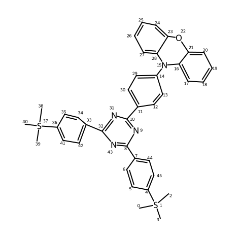 CS(C)(C)c1ccc(-c2nc(-c3ccc(N4c5ccccc5Oc5ccccc54)cc3)nc(-c3ccc(S(C)(C)C)cc3)n2)cc1